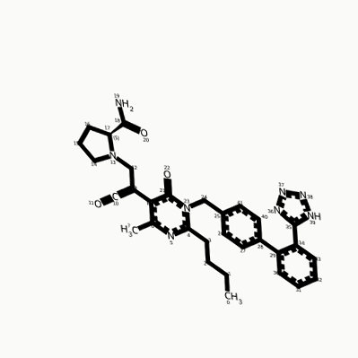 CCCCc1nc(C)c(C(=C=O)CN2CCC[C@H]2C(N)=O)c(=O)n1Cc1ccc(-c2ccccc2-c2nnn[nH]2)cc1